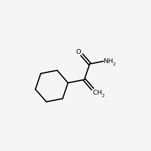 C=C(C(N)=O)C1CCCCC1